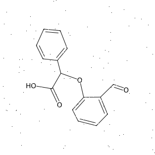 O=Cc1ccccc1OC(C(=O)O)c1ccccc1